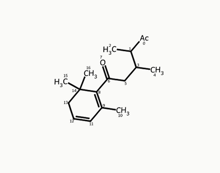 CC(=O)C(C)C(C)CC(=O)C1=C(C)C=CCC1(C)C